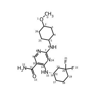 COC1CCC(Nc2ncc(C(N)=O)c(N[C@H]3CCCC(F)(F)C3)n2)CC1